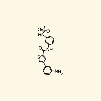 CS(=O)(=O)Nc1cccc(NC(=O)c2cc(-c3cccc(N)c3)cs2)c1